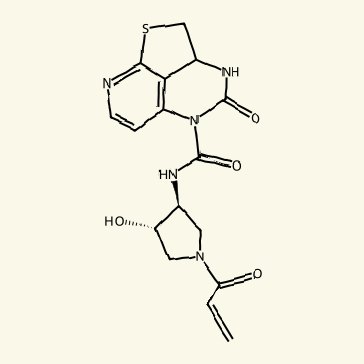 C=CC(=O)N1C[C@H](NC(=O)N2C(=O)NC3CSc4nccc2c43)[C@@H](O)C1